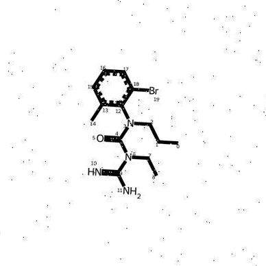 CCCN(C(=O)N(CC)C(=N)N)c1c(C)cccc1Br